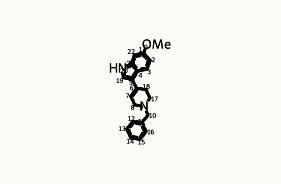 COc1ccc2c(C3=CCN(Cc4ccccc4)CC3)c[nH]c2c1